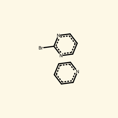 Brc1ncccn1.c1ccncc1